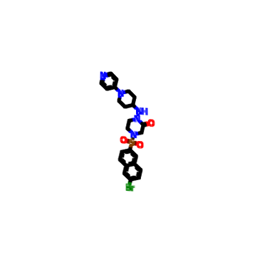 O=C1CN(S(=O)(=O)c2ccc3cc(Br)ccc3c2)CCN1NC1CCN(c2ccncc2)CC1